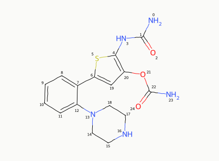 NC(=O)Nc1sc(-c2ccccc2N2CCNCC2)cc1OC(N)=O